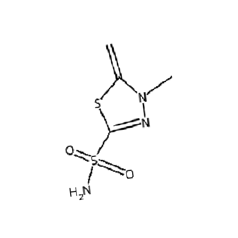 C=C1SC(S(N)(=O)=O)=NN1C